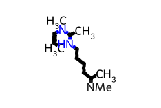 C/C=C\N(C)C(C)NCCCCC(C)NC